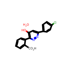 O.O=C(O)c1ccccc1-c1nnc(-c2ccc(Cl)cc2)cc1O